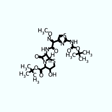 CON=C(C(=O)N[C@@H]1C(=O)N2C(C(=O)OC(C)(C)C)C(O)CS[C@@H]12)c1csc(NC(=O)OC(C)(C)C)n1